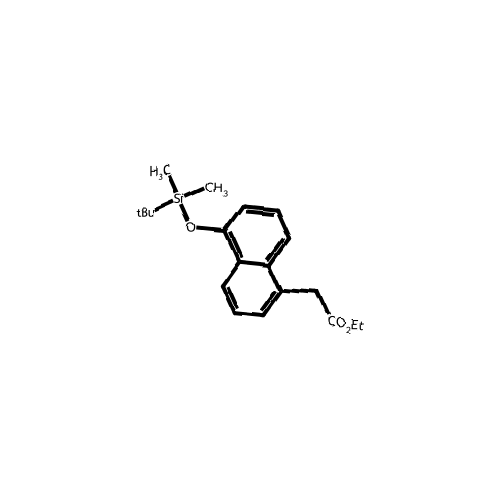 CCOC(=O)Cc1cccc2c(O[Si](C)(C)C(C)(C)C)cccc12